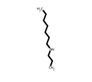 [CH2]CCCCCCNCC[CH2]